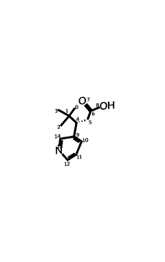 CC(C)(C)[C@H](CC(=O)O)c1cccnc1